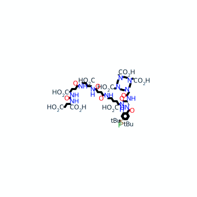 CC(C)(C)S(F)(c1ccc(C(=O)NC[C@@H](NC(=O)CN2CCN(CC(=O)O)CCN(CC(=O)O)CCN(CC(=O)O)CC2)C(=O)N[C@@H](CCCCNC(=O)CCC(=O)NCCC[C@H](NC(=O)CC[C@H](NC(=O)N[C@@H](CCC(=O)O)C(=O)O)C(=O)O)C(=O)O)C(=O)O)cc1)C(C)(C)C